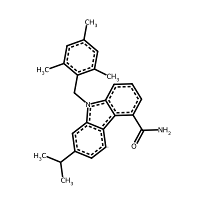 Cc1cc(C)c(Cn2c3cc(C(C)C)c[c]c3c3c(C(N)=O)cccc32)c(C)c1